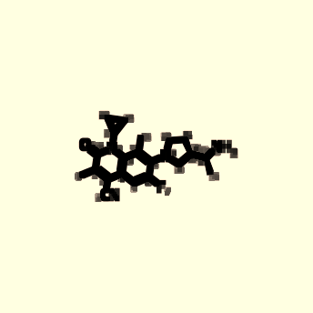 Cc1c(C#N)c2cc(F)c(N3CC[C@@H]([C@H](C)N)C3)c(C)c2n(C2CC2)c1=O